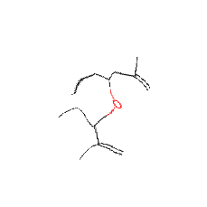 C=C(C)C(CC)OC(CC)C(=C)C